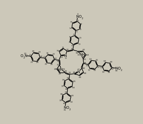 O=[N+]([O-])c1ccc(-c2ccc(-c3c4nc(c(-c5ccc(-c6ccc([N+](=O)[O-])cc6)cc5)c5ccc([nH]5)c(-c5ccc(-c6ccc([N+](=O)[O-])cc6)cc5)c5nc(c(-c6ccc(-c7ccc([N+](=O)[O-])cc7)cc6)c6ccc3[nH]6)C=C5)C=C4)cc2)cc1